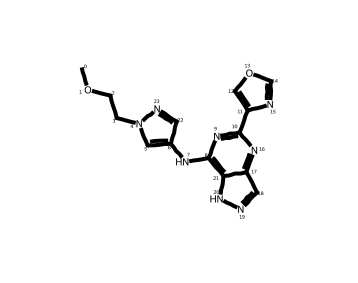 COCCn1cc(Nc2nc(-c3cocn3)nc3cn[nH]c23)cn1